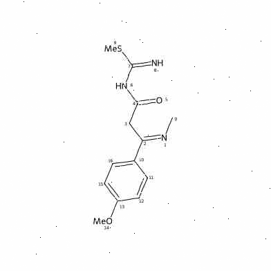 C/N=C(\CC(=O)NC(=N)SC)c1ccc(OC)cc1